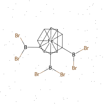 BrB(Br)[C]12[CH]3[CH]4[C]5(B(Br)Br)[C]1(B(Br)Br)[Fe]34251678[CH]2[CH]1[CH]6[CH]7[CH]28